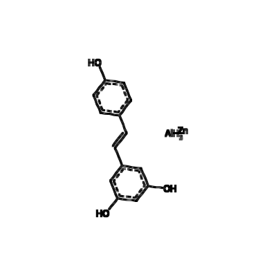 Oc1ccc(C=Cc2cc(O)cc(O)c2)cc1.[AlH3].[Zn]